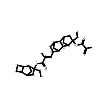 C=C(C)C(=O)OC1(CC)CC2CC1C1C3CC(CC3/C=C(\C)C(=O)OC3(CC)CC4CC3C3CCC43)C21